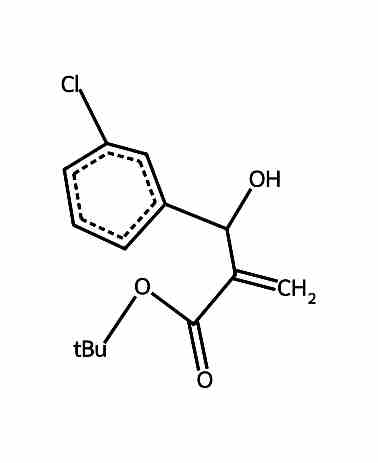 C=C(C(=O)OC(C)(C)C)C(O)c1cccc(Cl)c1